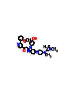 COc1ccccc1-c1cc(C(=O)Cc2nc3ccc(N4CCC(N(C)CCN(C)C)CC4)cc3n2[C@H]2CC[C@@H](O)CC2)ccn1